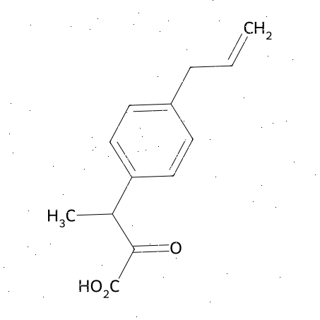 C=CCc1ccc(C(C)C(=O)C(=O)O)cc1